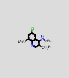 CCCCNc1c(C(=O)O)cnc2c(OC)cc(Cl)cc12